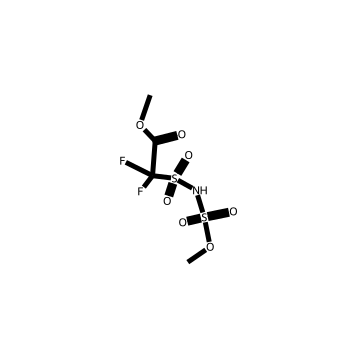 COC(=O)C(F)(F)S(=O)(=O)NS(=O)(=O)OC